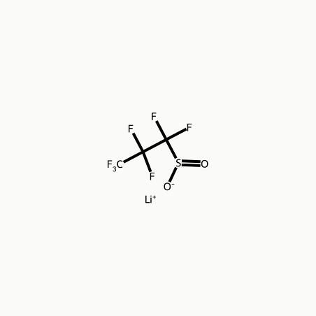 O=S([O-])C(F)(F)C(F)(F)C(F)(F)F.[Li+]